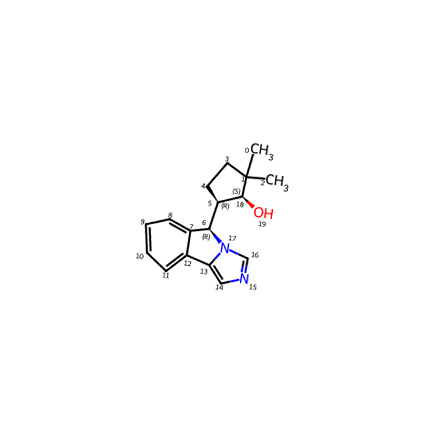 CC1(C)CC[C@H]([C@@H]2c3ccccc3-c3cncn32)[C@@H]1O